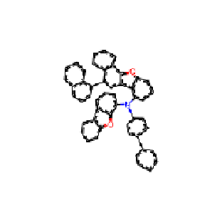 c1ccc(-c2ccc(N(c3cccc4c3oc3ccccc34)c3cccc4oc5c6ccccc6c(-c6cccc7ccccc67)cc5c34)cc2)cc1